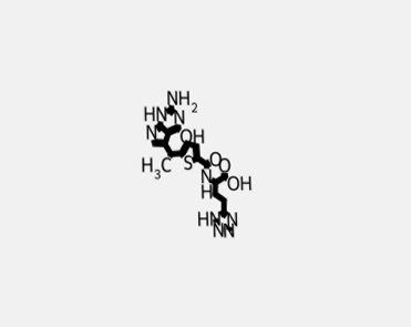 CC(c1ccc(C(=O)NC(CCc2nnn[nH]2)C(=O)O)s1)c1cnc2[nH]c(N)nc(O)c1-2